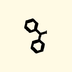 IC(c1ccccc1)c1ccccc1